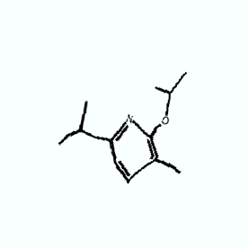 Cc1ccc(C(C)C)nc1OC(C)C